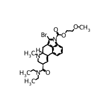 CCN(CC)C(=O)[C@@H]1C=C2c3cccc4c3c(c(Br)n4C(=O)OCCOC)C[C@H]2N(C)C1